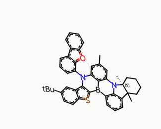 Cc1cc2c3c(c1)N1c4c(cccc4C4(C)CCCC[C@]14C)B3c1sc3ccc(C(C)(C)C)cc3c1N2c1cccc2c1oc1ccccc12